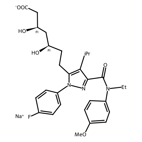 CCN(C(=O)c1nn(-c2ccc(F)cc2)c(CC[C@@H](O)C[C@@H](O)CC(=O)[O-])c1C(C)C)c1ccc(OC)cc1.[Na+]